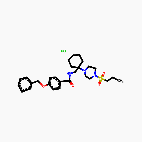 CCCS(=O)(=O)N1CCN(C2(CNC(=O)c3ccc(OCc4ccccc4)cc3)CCCCC2)CC1.Cl